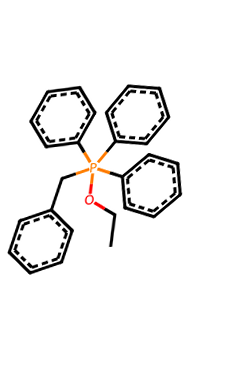 CCOP(Cc1ccccc1)(c1ccccc1)(c1ccccc1)c1ccccc1